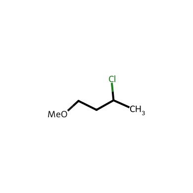 COCCC(C)Cl